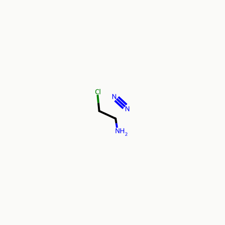 N#N.NCCCl